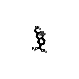 CC(=C1C=C(C=C(N)CN)C(O)=CC1)C(F)(F)F